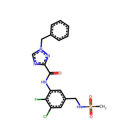 CS(=O)(=O)NCc1cc(Cl)c(F)c(NC(=O)c2ncn(Cc3ccccc3)n2)c1